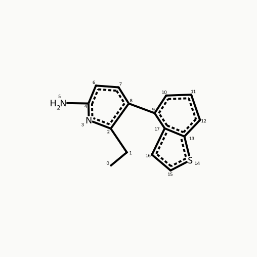 CCc1nc(N)ccc1-c1cccc2sccc12